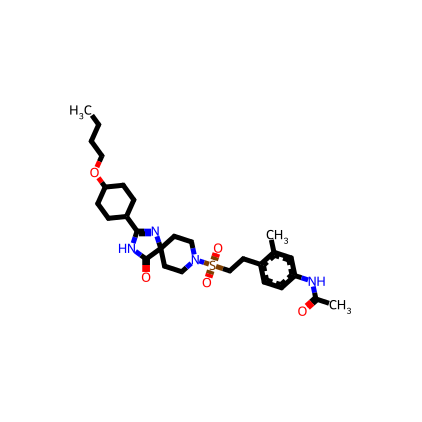 CCCCOC1CCC(C2=NC3(CCN(S(=O)(=O)CCc4ccc(NC(C)=O)cc4C)CC3)C(=O)N2)CC1